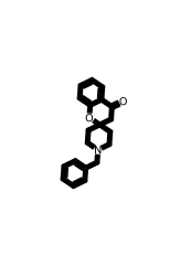 O=C1CC2(CCN(Cc3ccccc3)CC2)Oc2ccccc21